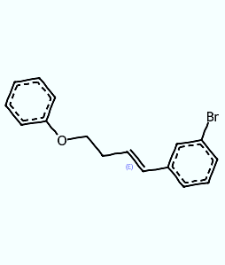 Brc1cccc(/C=C/CCOc2ccccc2)c1